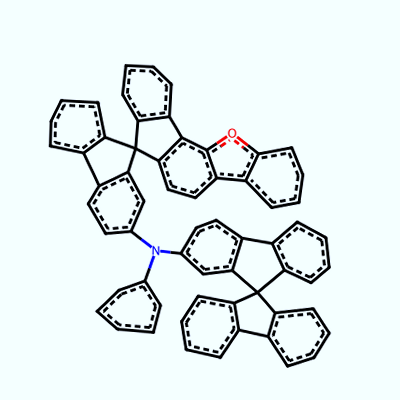 c1ccc(N(c2ccc3c(c2)C2(c4ccccc4-c4ccccc42)c2ccccc2-3)c2ccc3c(c2)C2(c4ccccc4-3)c3ccccc3-c3c2ccc2c3oc3ccccc32)cc1